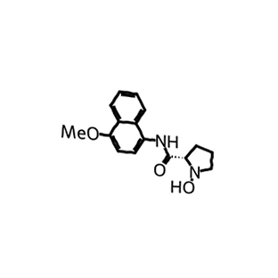 COc1ccc(NC(=O)[C@@H]2CCCN2O)c2ccccc12